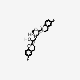 O[C@@H](CN1C[C@H]([C@@H]2CCc3cc(F)ccc3O2)OC#[PH]1)[C@H]1CCc2cc(F)ccc2O1